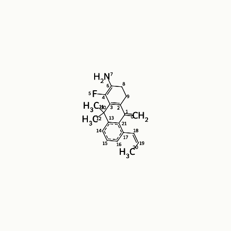 C=C1C2=C(C(F)=C(N)CC2)C(C)(C)c2cccc(/C=C\C)c21